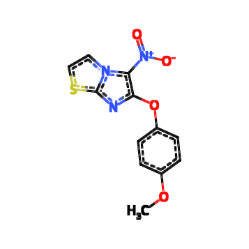 COc1ccc(Oc2nc3sccn3c2[N+](=O)[O-])cc1